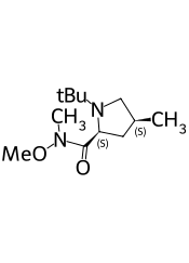 CON(C)C(=O)[C@@H]1C[C@H](C)CN1C(C)(C)C